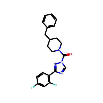 O=C(N1CCC(Cc2ccccc2)CC1)n1cnc(-c2ccc(F)cc2F)n1